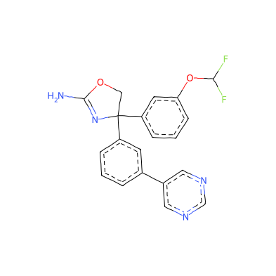 NC1=NC(c2cccc(OC(F)F)c2)(c2cccc(-c3cncnc3)c2)CO1